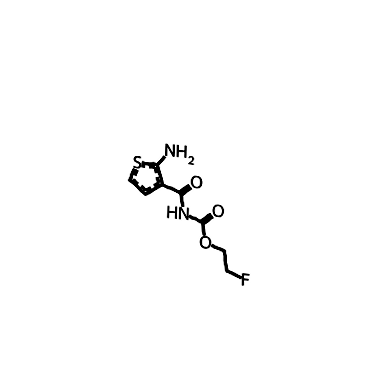 Nc1sccc1C(=O)NC(=O)OCCF